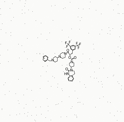 O=C(O[C@H](Cc1cc(C(F)(F)F)cc(C(F)(F)F)c1)C(=O)N1CCN(C2CCN(Cc3ccccc3)CC2)CC1)N1CCC(N2CCc3ccccc3NC2=O)CC1